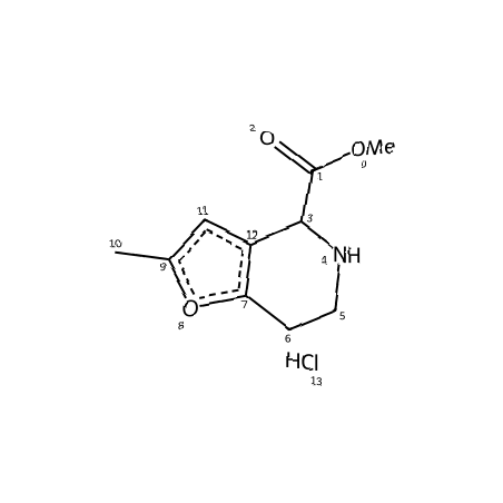 COC(=O)C1NCCc2oc(C)cc21.Cl